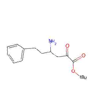 CC(C)(C)OC(=O)C(=O)CC(N)CCc1ccccc1